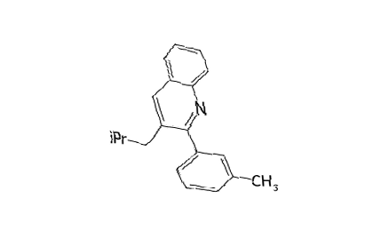 Cc1cccc(-c2nc3ccccc3cc2CC(C)C)c1